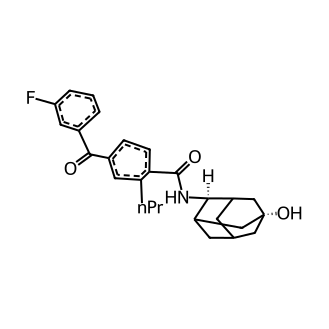 CCCc1cc(C(=O)c2cccc(F)c2)ccc1C(=O)N[C@H]1C2CC3CC1C[C@](O)(C3)C2